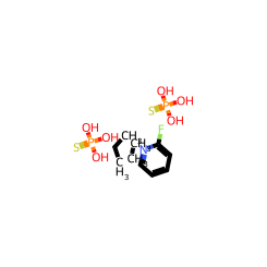 CC.CCC.Fc1ccccn1.OP(O)(O)=S.OP(O)(O)=S